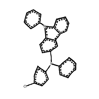 Clc1ccc(N(c2ccccc2)c2ccc3c(c2)c2ccccc2n3-c2ccccc2)cc1